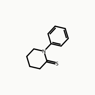 S=C1CCCCN1c1ccccc1